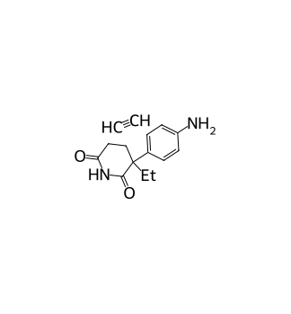 C#C.CCC1(c2ccc(N)cc2)CCC(=O)NC1=O